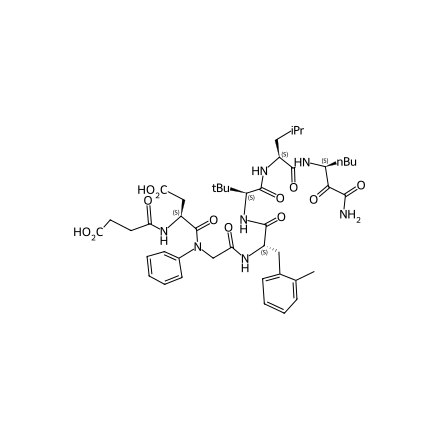 CCCC[C@H](NC(=O)[C@H](CC(C)C)NC(=O)[C@@H](NC(=O)[C@H](Cc1ccccc1C)NC(=O)CN(C(=O)[C@H](CC(=O)O)NC(=O)CCC(=O)O)c1ccccc1)C(C)(C)C)C(=O)C(N)=O